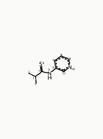 CC(C)C(=S)Nc1cccnc1